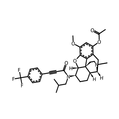 COc1cc(OC(C)=O)c2c3c1O[C@H]1[C@H](N(CC(C)C)C(=O)C#Cc4ccc(C(F)(F)F)cc4)CC[C@H]4[C@@H](C2)N(C)CC[C@@]341